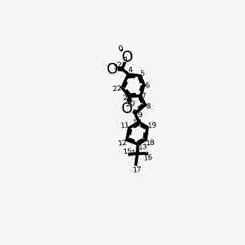 COC(=O)c1ccc2cc(-c3ccc(C(C)(C)C)cc3)oc2c1